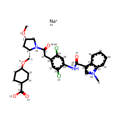 CO[C@H]1C[C@@H](COC2CCC(C(=O)[O-])CC2)N(C(=O)Cc2cc(Cl)c(NC(=O)c3cn(C)c4ccccc34)cc2Cl)C1.[Na+]